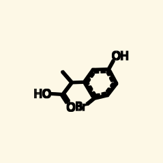 CC(C(=O)O)c1cc(O)ccc1Br